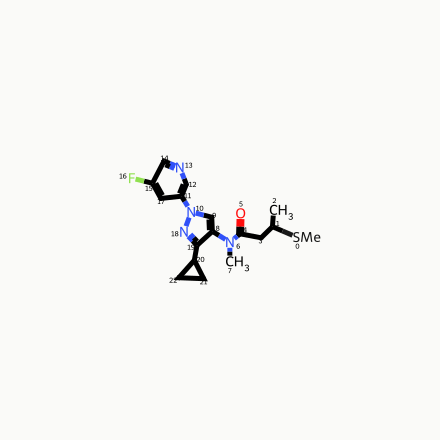 CSC(C)CC(=O)N(C)c1cn(-c2cncc(F)c2)nc1C1CC1